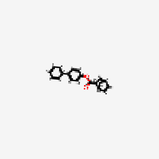 O=C(Oc1ccc(-c2ccccc2)cc1)C1CC2C=CC1C2